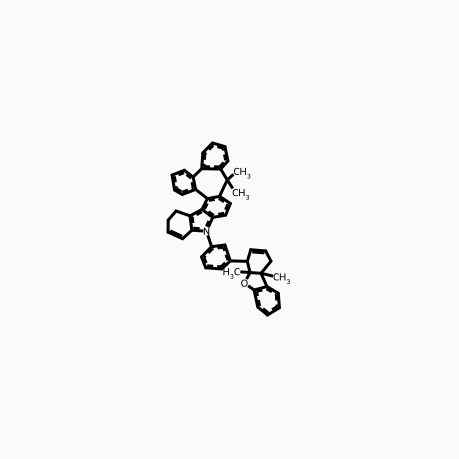 CC1(C)c2ccccc2-c2ccccc2-c2c1ccc1c2c2c(n1-c1cccc(C3C=CCC4(C)c5ccccc5OC34C)c1)C=CCC2